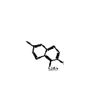 CSc1c(I)ccc2cc(C)ccc12